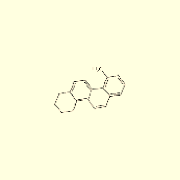 [CH2]c1cccc2ccc3c4c(ccc3c12)CCCC4